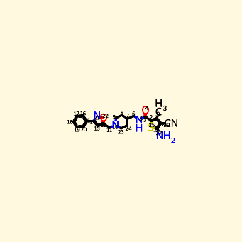 Cc1c(C(=O)NCC2CCN(Cc3cc(-c4ccccc4)no3)CC2)sc(N)c1C#N